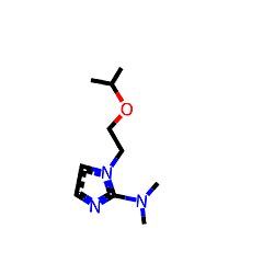 CC(C)OCCn1ccnc1N(C)C